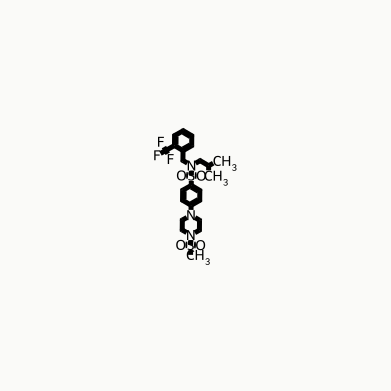 CC(C)CN(Cc1ccccc1C(F)(F)F)S(=O)(=O)c1ccc(N2CCN(S(C)(=O)=O)CC2)cc1